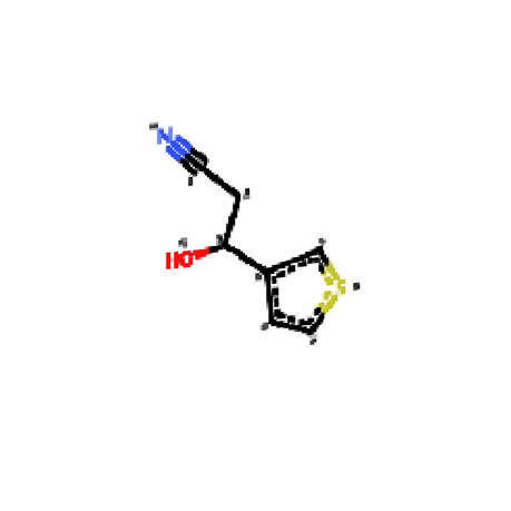 N#CC[C@H](O)c1ccsc1